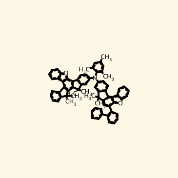 Cc1cc(C)c(N(c2ccc3c(c2)C(C)(C)c2cc(-c4ccccc4-c4ccccc4)c4oc5ccccc5c4c2-3)c2ccc3c(c2)C(C)(C)c2c4c(c5c(oc6ccccc65)c2-3)-c2ccccc2C4(C)C)c(C)c1